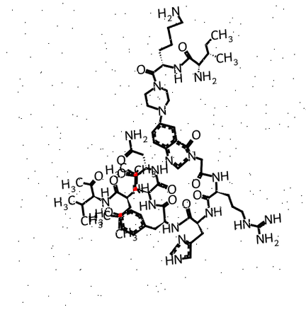 CC[C@H](C)[C@H](N)C(=O)N[C@@H](CCCCN)C(=O)N1CCN(c2ccc3ncn(CC(=O)N[C@@H](CCCNC(=N)N)C(=O)N[C@@H](Cc4c[nH]cn4)C(=O)N[C@@H](Cc4ccc(O)cc4)C(=O)N[C@@H](CC(C)C)C(=O)N[C@@H](CC(N)=O)C(=O)N[C@@H](CC(C)C)C(=O)N[C@H](C(C)=O)C(C)C)c(=O)c3c2)CC1